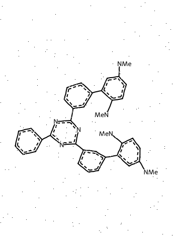 CNc1ccc(NC)c(-c2cccc(-c3nc(-c4ccccc4)nc(-c4cccc(-c5cc(NC)ccc5NC)c4)n3)c2)c1